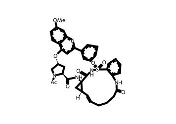 COc1ccc2c(O[C@@H]3C[C@@H](C(=O)N[C@]45C[C@@H]4/C=C/CCCC(=O)Nc4ccccc4S(=O)(=O)NC5=O)N(C(C)=O)C3)cc(-c3ccccc3)nc2c1